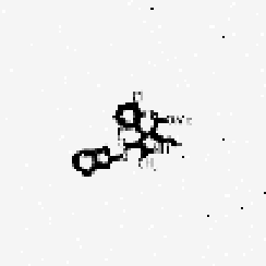 COC(=O)C1=C(CF)NC(C)=C(C(=O)OC2C=C3CC=CC=C3C2)C1c1c(F)ccc(Cl)c1C(F)(F)F